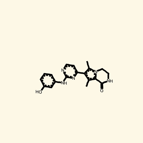 Cc1c(-c2ccnc(Nc3cccc(O)c3)n2)c(C)n2c1C(=O)NCC2